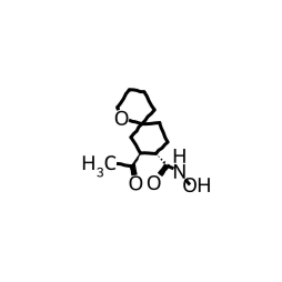 CC(=O)[C@H]1CC2(CCCCO2)CC[C@@H]1C(=O)NO